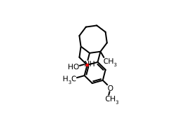 COc1cc(C)c2c(c1)C1(C)CCCCCC(C2)C1NO